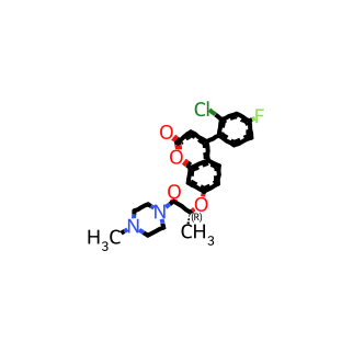 C[C@@H](Oc1ccc2c(-c3ccc(F)cc3Cl)cc(=O)oc2c1)C(=O)N1CCN(C)CC1